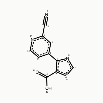 N#Cc1cc(-c2ncsc2C(=O)O)ccn1